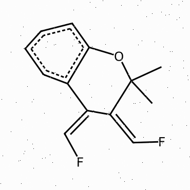 CC1(C)Oc2ccccc2C(=CF)C1=CF